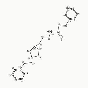 O=C(/C=C/c1cccnc1)NCCC1C2CN(CCc3ccccc3)CC12